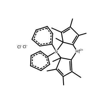 CC1=C(C)C2(C)[C](=C1C)[Hf+2][C]1=C(C)C(C)=C(C)C1(C)[Si]2(c1ccccc1)c1ccccc1.[Cl-].[Cl-]